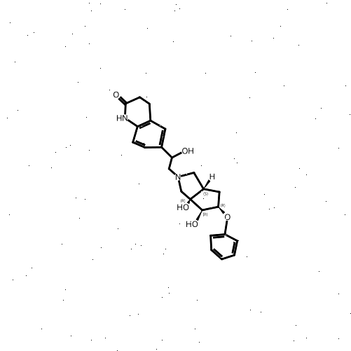 O=C1CCc2cc(C(O)CN3C[C@@H]4C[C@@H](Oc5ccccc5)[C@@H](O)[C@]4(O)C3)ccc2N1